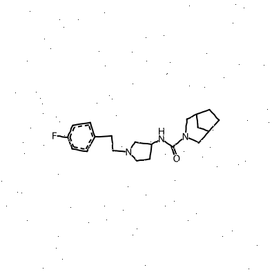 O=C(NC1CCN(CCc2ccc(F)cc2)C1)N1CC2CCC(C2)C1